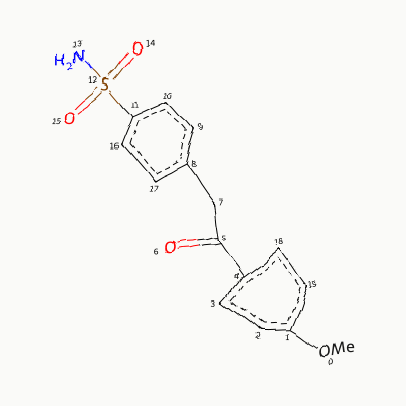 COc1ccc(C(=O)Cc2ccc(S(N)(=O)=O)cc2)cc1